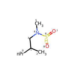 CCCC(C)CN(C)[SH](=O)=O